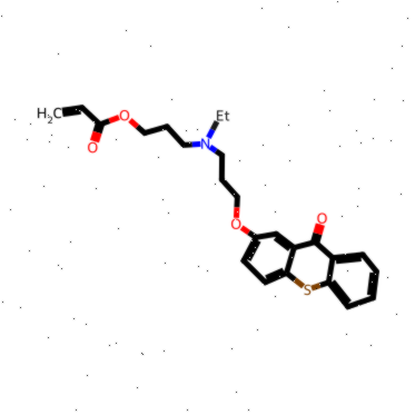 C=CC(=O)OCCCN(CC)CCCOc1ccc2sc3ccccc3c(=O)c2c1